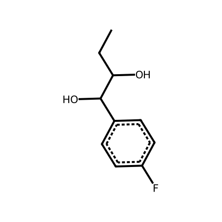 CCC(O)C(O)c1ccc(F)cc1